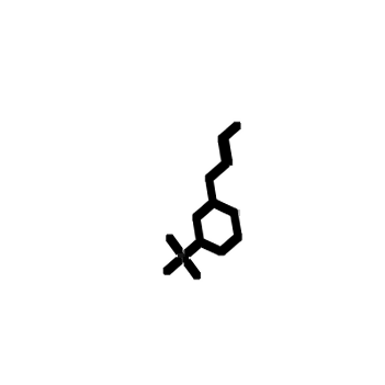 CC=CCC1[CH]CCC([Si](C)(C)C)C1